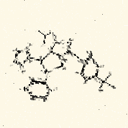 CC(C)C[C@@]1(C(=O)O)C(c2nccs2)[C@@H](c2cnccn2)CN1C(=O)c1ccc(C(C)(C)C)cc1